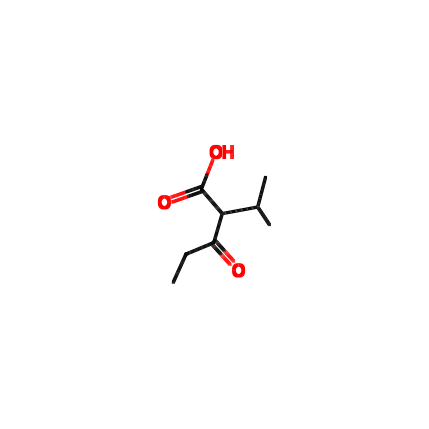 CCC(=O)C(C(=O)O)C(C)C